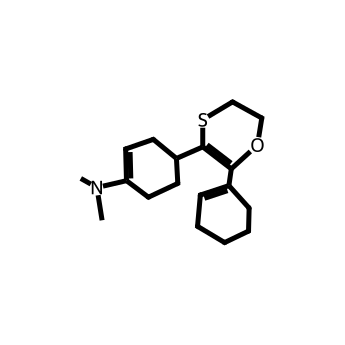 CN(C)C1=CCC(C2=C(C3=CCCCC3)OCCS2)CC1